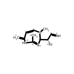 C=C1/C=C\N(C)C([C@H](C=N)CC)/N=C(\C)N1